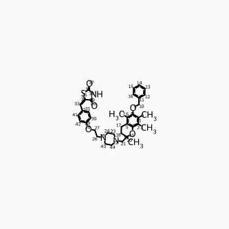 Cc1c(C)c2c(c(C)c1OCc1ccccc1)CCC(C)(CN1CCN(CCOc3ccc(C=C4SC(=O)NC4=O)cc3)CC1)O2